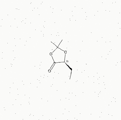 CC[C@@H]1OC(C)(C)OC1=O